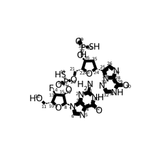 Nc1nc2c(ncn2[C@@H]2O[C@H](CO)[C@@H](F)[C@H]2OP(=O)(S)OC[C@H]2O[C@@H](c3cnc4c(=O)[nH]cnn34)C[C@@H]2O[PH](=O)S)c(=O)[nH]1